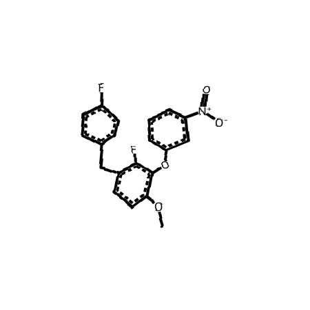 COc1ccc(Cc2ccc(F)cc2)c(F)c1Oc1cccc([N+](=O)[O-])c1